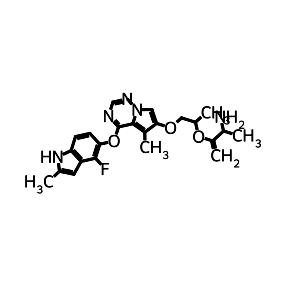 C=C(OC(C)COc1cn2ncnc(Oc3ccc4[nH]c(C)cc4c3F)c2c1C)C(C)N